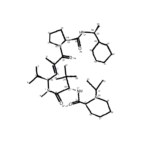 C/C(=C\[C@H](C(C)C)N(C)C(=O)[C@@H](NC(=O)C1CCCCN1C(C)C)C(C)(C)C)C(=O)N1CCC[C@H]1C(=O)N[C@@H](C)C1CCCCC1